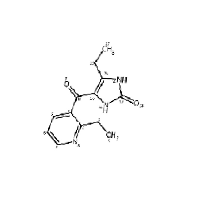 CCc1ncccc1C(=O)c1[nH]c(=O)[nH]c1CC